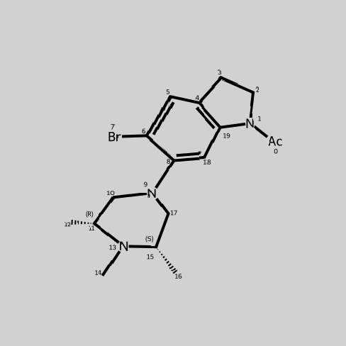 CC(=O)N1CCc2cc(Br)c(N3C[C@@H](C)N(C)[C@@H](C)C3)cc21